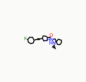 O=C(NCC1(NC2CC2)CCCCC1)C1CCC(C#CC2CCCC(F)CC2)CC1